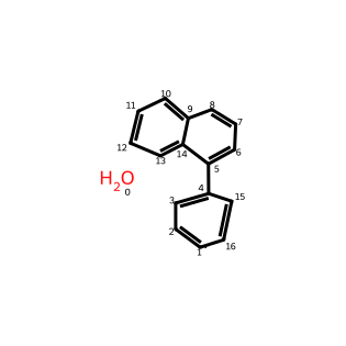 O.[c]1ccc(-c2cccc3ccccc23)cc1